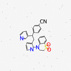 N#Cc1ccc(C(Cc2cccnc2N2CCS(=O)(=O)c3ccccc32)c2cccnc2)cc1